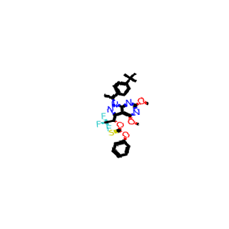 COc1nc(OC)c2c(C(OC(=S)Oc3ccccc3)C(F)(F)F)nn(C(C)c3ccc(C(C)(C)C)cc3)c2n1